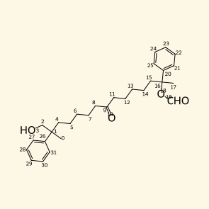 CC(CO)(CCCCCC(=O)CCCCCC(C)(OC=O)c1ccccc1)c1ccccc1